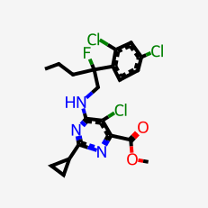 CCCC(F)(CNc1nc(C2CC2)nc(C(=O)OC)c1Cl)c1ccc(Cl)cc1Cl